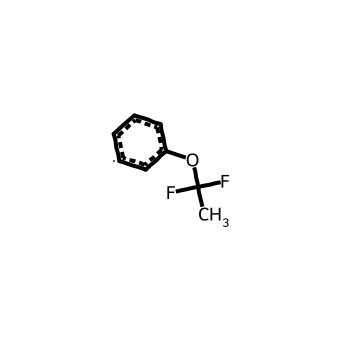 CC(F)(F)Oc1c[c]ccc1